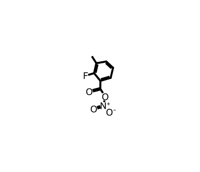 Cc1cccc(C(=O)O[N+](=O)[O-])c1F